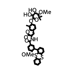 COc1ccc(C(=O)Nc2cc3ccc(O[C@@H]4OC(C)(C)[C@H](OC)[C@@H](O)[C@@H]4O)c(C)c3oc2=O)cc1-c1cccc2c1Sc1ccccc1S2